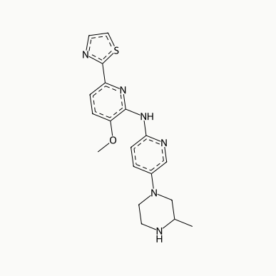 COc1ccc(-c2nccs2)nc1Nc1ccc(N2CCNC(C)C2)cn1